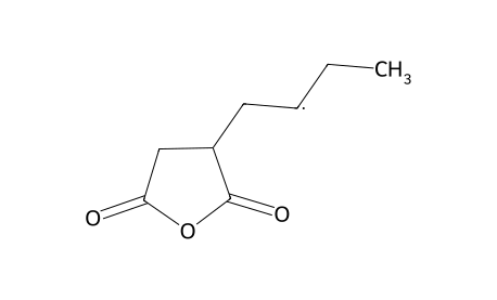 CC[CH]CC1CC(=O)OC1=O